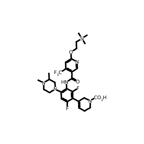 CC1CN(c2cc(F)c(C3=CCCN(C(=O)O)C3)c(F)c2NC(=O)c2cnc(OCC[Si](C)(C)C)cc2C(F)(F)F)CCN1C